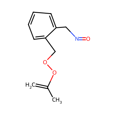 C=C(C)OOCc1ccccc1CN=O